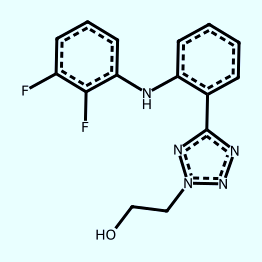 OCCn1nnc(-c2ccccc2Nc2cccc(F)c2F)n1